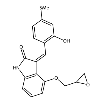 CSc1ccc(C=C2C(=O)Nc3cccc(OCC4CO4)c32)c(O)c1